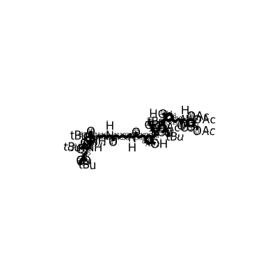 CC(=O)OC[C@H]1OC(OC(C)=O)[C@H](NC(=O)CCc2ccc(O)c(CN(CCN(CC(=O)OC(C)(C)C)Cc3cc(CCC(=O)NCCCCCC(=O)NCCCC[C@H](NC(=O)N[C@@H](CCC(=O)OC(C)(C)C)C(=O)OC(C)(C)C)C(=O)OC(C)(C)C)ccc3O)CC(=O)OC(C)(C)C)c2)[C@@H](OC(C)=O)[C@@H]1OC(C)=O